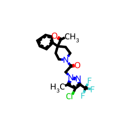 CC(=O)C1(c2ccccc2)CCN(C(=O)Cn2nc(C(F)(F)F)c(Cl)c2C)CC1